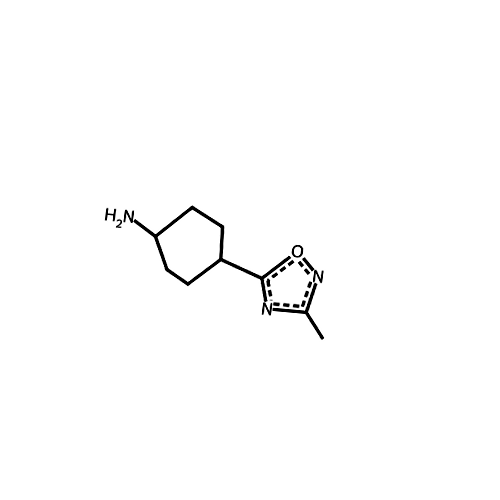 Cc1noc(C2CCC(N)CC2)n1